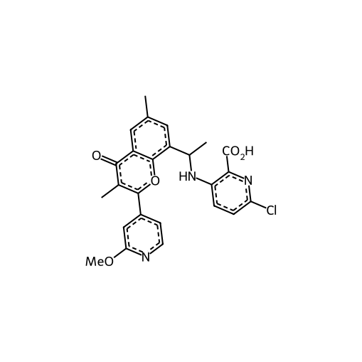 COc1cc(-c2oc3c(C(C)Nc4ccc(Cl)nc4C(=O)O)cc(C)cc3c(=O)c2C)ccn1